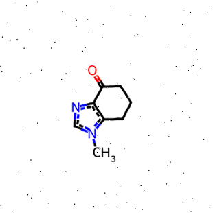 Cn1cnc2c1CCCC2=O